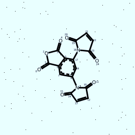 O=C1OC(=O)c2c1cc(N1C(=O)C=CC1=O)cc2N1C(=O)C=CC1=O